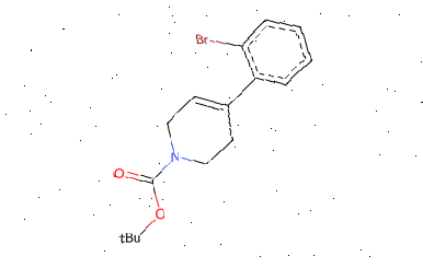 CC(C)(C)OC(=O)N1CC=C(c2ccccc2Br)CC1